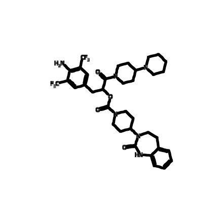 Nc1c(C(F)(F)F)cc(CC(OC(=O)N2CCC(N3CCc4ccccc4NC3=O)CC2)C(=O)N2CCC(N3CCCCC3)CC2)cc1C(F)(F)F